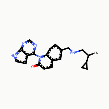 N#CC(CNCc1ccc2c(ccc(=O)n2-c2ncnc3[nH]ccc23)c1)C1CC1